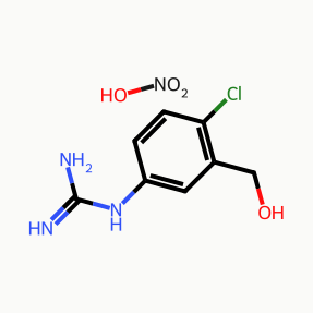 N=C(N)Nc1ccc(Cl)c(CO)c1.O=[N+]([O-])O